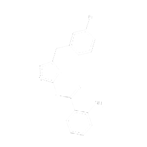 Nc1ccccc1C(=O)Oc1ncc(Cc2cccc(Br)c2)s1